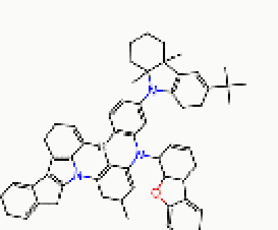 CC1C=C2C3=C(C1)n1c4c(c5c1C(=CCC5)B3c1ccc(N3C5=C(C=C(C(C)(C)C)CC5)C5(C)CCCCC35C)cc1N2C1C=CCC2C3=CCCC=C3OC21)C1=CCCC=C1C4